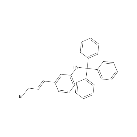 BrCC=Cc1cccc(NC(c2ccccc2)(c2ccccc2)c2ccccc2)c1